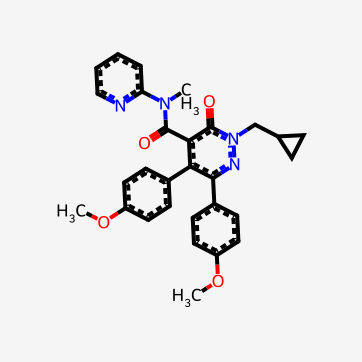 COc1ccc(-c2nn(CC3CC3)c(=O)c(C(=O)N(C)c3ccccn3)c2-c2ccc(OC)cc2)cc1